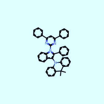 CC1(C)c2ccccc2N(c2c(-c3ccccc3)n(-c3nc(-c4ccccc4)cc(-c4ccccc4)n3)c3ccccc23)c2ccccc21